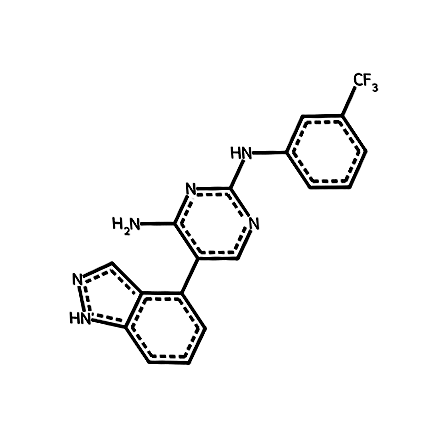 Nc1nc(Nc2cccc(C(F)(F)F)c2)ncc1-c1cccc2[nH]ncc12